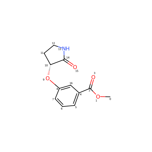 COC(=O)c1cccc(O[C@@H]2CCNC2=O)c1